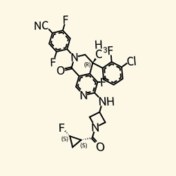 C[C@]1(c2cccc(Cl)c2F)CN(c2cc(F)c(C#N)cc2F)C(=O)c2cnc(NC3CN(C(=O)[C@@H]4C[C@@H]4F)C3)c(F)c21